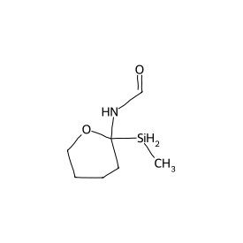 C[SiH2]C1(NC=O)CCCCO1